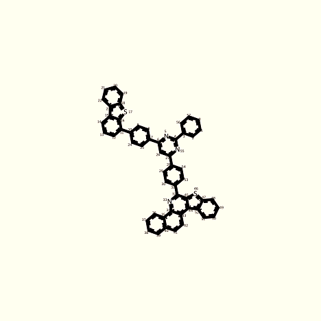 c1ccc(-c2nc(-c3ccc(-c4cccc5c4sc4ccccc45)cc3)cc(-c3ccc(-c4nc5c6ccccc6ccc5c5c4sc4ccccc45)cc3)n2)cc1